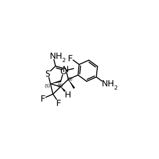 COC[C@@]12SC(N)=N[C@](C)(c3cc(N)ccc3F)[C@@H]1C2(F)F